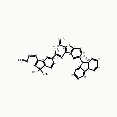 C=C/C=C\C1=CC(C)(C)c2ccc(/C(C)=C/c3c(C=C)oc4ccc(N5c6ccccc6C6C=CC=C[C@@H]65)cc34)cc21